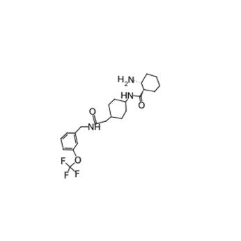 N[C@@H]1CCCC[C@H]1C(=O)NC1CCC(CC(=O)NCc2cccc(OC(F)(F)F)c2)CC1